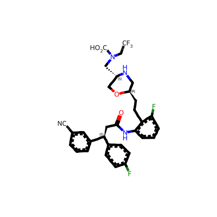 N#Cc1cccc([C@@H](CC(=O)Nc2cccc(F)c2CC[C@@H]2CN[C@@H](CN(CC(F)(F)F)C(=O)O)CO2)c2ccc(F)cc2)c1